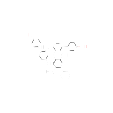 Cc1cc(C(c2cc(-c3ccc(O)cc3)ccc2C)c2cc(-c3ccc(O)cc3)ccc2C)c(C)cc1C1CCCCC1